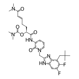 CN(C)C(=O)/C=C/CC[C@H](OC(=O)N(C)C)C(=O)Nc1cccn(Cc2nc3c(CC(C)(C)C)c(F)c(F)cc3[nH]2)c1=O